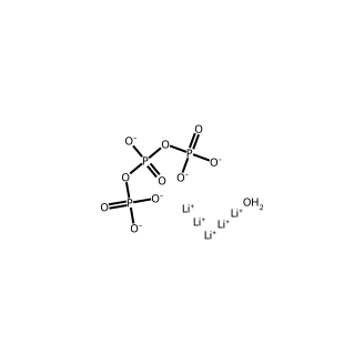 O.O=P([O-])([O-])OP(=O)([O-])OP(=O)([O-])[O-].[Li+].[Li+].[Li+].[Li+].[Li+]